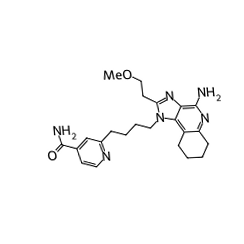 COCCc1nc2c(N)nc3c(c2n1CCCCc1cc(C(N)=O)ccn1)CCCC3